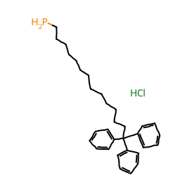 Cl.PCCCCCCCCCCCCCC(c1ccccc1)(c1ccccc1)c1ccccc1